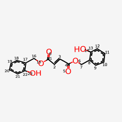 O=C(C=CC(=O)OCc1ccccc1O)OCc1ccccc1O